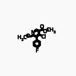 COCc1ncc(C(=O)OC)c(Cl)c1-c1ccc(F)cc1